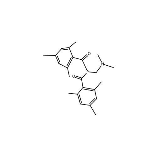 Cc1cc(C)c(C(=O)P(CN(C)C)C(=O)c2c(C)cc(C)cc2C)c(C)c1